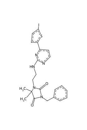 CC1(C)C(=O)N(Cc2ccccc2)C(=O)N1CCNc1nccc(-c2ccc(I)s2)n1